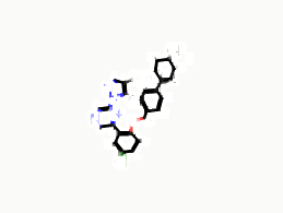 CCOC(=O)c1cnn(-c2cncc(-c3cc(Cl)ccc3OCc3ccc(C4CCC(C(F)(F)F)CC4)cc3)n2)c1C(F)(F)F